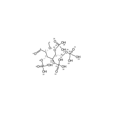 CO[C@@H](C=O)[C@@H](OP(=O)(O)O)[C@H](OP(=O)(O)O)[C@@H](COP(=O)(O)O)OP(=O)(O)O